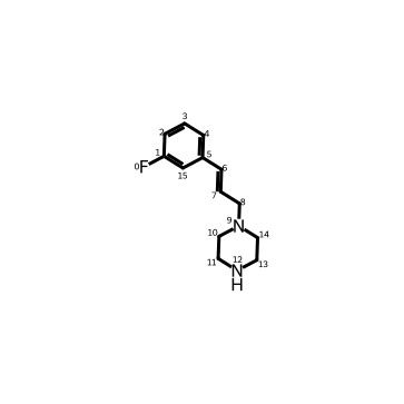 Fc1cccc(/C=C/CN2CCNCC2)c1